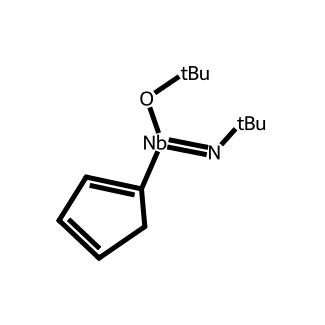 CC(C)(C)[N]=[Nb]([O]C(C)(C)C)[C]1=CC=CC1